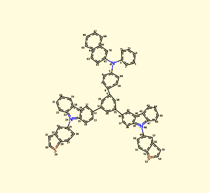 c1ccc(N(c2ccc(-c3cc(-c4ccc5c(c4)c4ccccc4n5-c4ccc5sccc5c4)cc(-c4ccc5c(c4)c4ccccc4n5-c4ccc5sccc5c4)c3)cc2)c2ccc3ccccc3c2)cc1